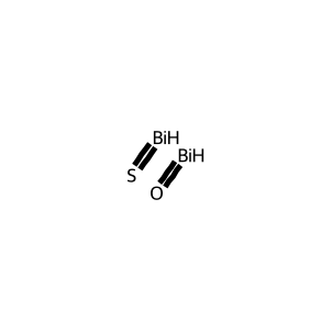 [O]=[BiH].[S]=[BiH]